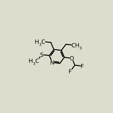 CCc1c(OC(F)F)cnc(SC)c1CC